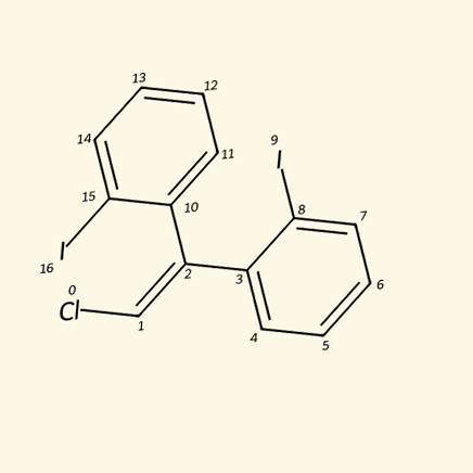 ClC=C(c1ccccc1I)c1ccccc1I